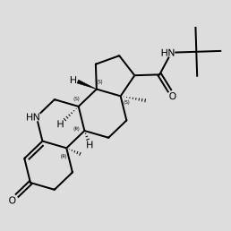 CC(C)(C)NC(=O)C1CC[C@H]2[C@@H]3CNC4=CC(=O)CC[C@]4(C)[C@@H]3CC[C@]12C